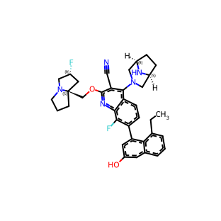 CCc1cccc2cc(O)cc(-c3ccc4c(N5C[C@H]6CC[C@@H](C5)N6)c(C#N)c(OC[C@@]56CCCN5C[C@H](F)C6)nc4c3F)c12